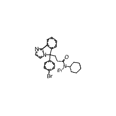 CC(C)N(C(=O)CCC1(c2ccc(Br)cc2)c2ccccc2-c2nccn21)C1CCCCC1